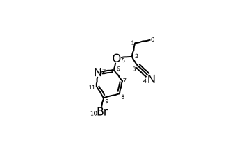 CCC(C#N)Oc1ccc(Br)cn1